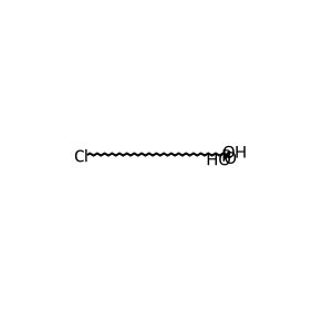 O=P(O)(O)CCCCCCCCCCCCCCCCCCCCCCCCCCCCCCCCCCCCCCl